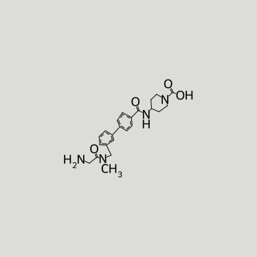 CN(Cc1cccc(-c2ccc(C(=O)NC3CCN(C(=O)O)CC3)cc2)c1)C(=O)CN